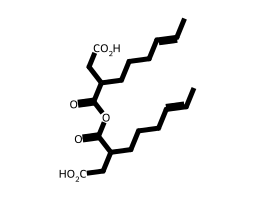 C/C=C/CCCC(CC(=O)O)C(=O)OC(=O)C(CCC/C=C/C)CC(=O)O